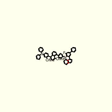 COc1cc(N(c2ccccc2)c2ccccc2)ccc1-c1ccc(OC)c2c(-c3ccc(N(c4ccccc4)c4c(F)cc(-c5ccccc5)cc4-c4ccccc4)cc3)cccc12